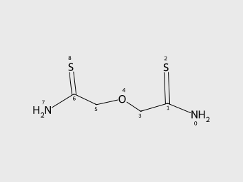 NC(=S)COCC(N)=S